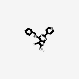 Cc1sc2nc(-c3ccncc3)nc(NCc3ccccc3)c2c1Cl